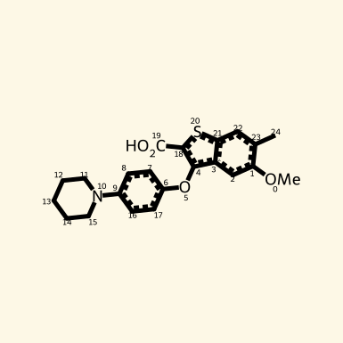 COc1cc2c(Oc3ccc(N4CCCCC4)cc3)c(C(=O)O)sc2cc1C